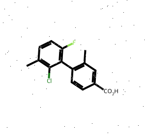 Cc1cc(C(=O)O)ccc1-c1c(F)ccc(C)c1Cl